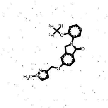 [2H]C([2H])([2H])Oc1ccccc1N1Cc2cc(OCc3ccn(C)n3)ccc2C1=O